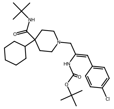 CC(C)(C)NC(=O)C1(C2CCCCC2)CCN(C/C(=C/c2ccc(Cl)cc2)NC(=O)OC(C)(C)C)CC1